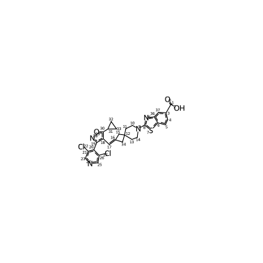 O=C(O)c1ccc2sc(N3CCC4(CC3)CC(=Cc3c(-c5c(Cl)cncc5Cl)noc3C3CC3)C4)nc2c1